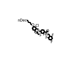 CCCCCCCCCCCCCCOc1ccc(F)c(CN2C(=O)CSc3cc(C(=O)NCc4c(F)cc(F)cc4F)ccc32)c1Cl